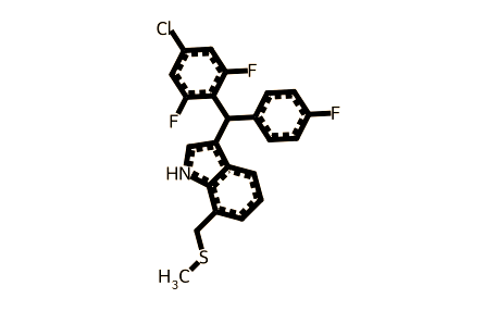 CSCc1cccc2c(C(c3ccc(F)cc3)c3c(F)cc(Cl)cc3F)c[nH]c12